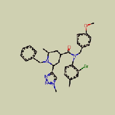 COc1ccc(CN(C(=O)C2CC(C)N(Cc3ccccc3)C(c3cn(C)nn3)C2)c2ccc(C)cc2Br)cc1